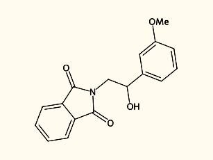 COc1cccc(C(O)CN2C(=O)c3ccccc3C2=O)c1